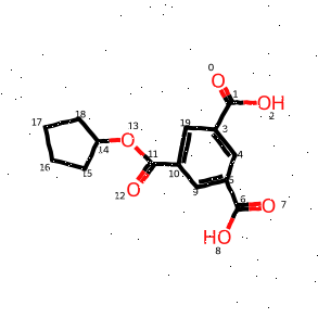 O=C(O)c1cc(C(=O)O)cc(C(=O)OC2CCCC2)c1